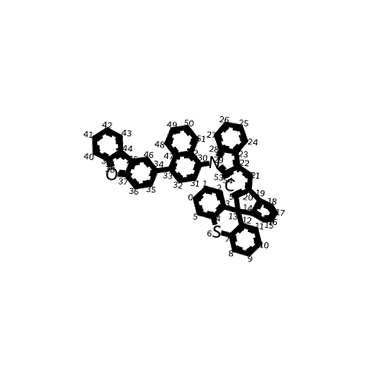 c1ccc2c(c1)Sc1ccccc1C21c2ccccc2-c2cc3c4ccccc4n(-c4ccc(-c5ccc6oc7ccccc7c6c5)c5ccccc45)c3cc21